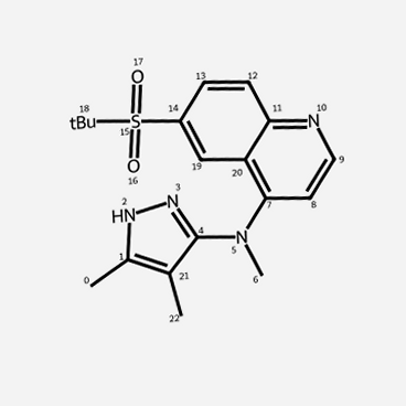 Cc1[nH]nc(N(C)c2ccnc3ccc(S(=O)(=O)C(C)(C)C)cc23)c1C